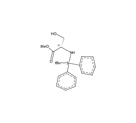 COC(=O)[C@H](CO)N[Si](c1ccccc1)(c1ccccc1)C(C)(C)C